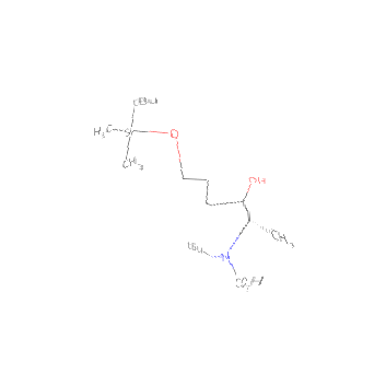 C[C@@H](C(O)CCCO[Si](C)(C)C(C)(C)C)N(C(=O)O)C(C)(C)C